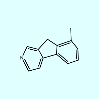 Cc1cccc2c1Cc1cnccc1-2